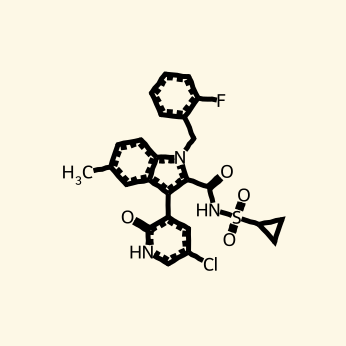 Cc1ccc2c(c1)c(-c1cc(Cl)c[nH]c1=O)c(C(=O)NS(=O)(=O)C1CC1)n2Cc1ccccc1F